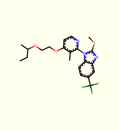 CCC(C)OCCOc1ccnc(-n2c(SC)nc3cc(C(F)(F)F)ccc32)c1C